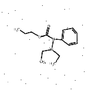 CCCOC(=O)N(c1ccccc1)N(CC)CC